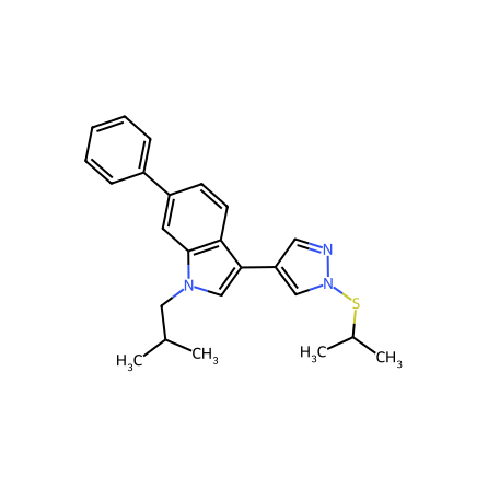 CC(C)Cn1cc(-c2cnn(SC(C)C)c2)c2ccc(-c3ccccc3)cc21